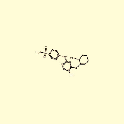 NS(=O)(=O)c1ccc(Nc2ncc(C(F)(F)F)c(OC3CCCCC3O)n2)cc1